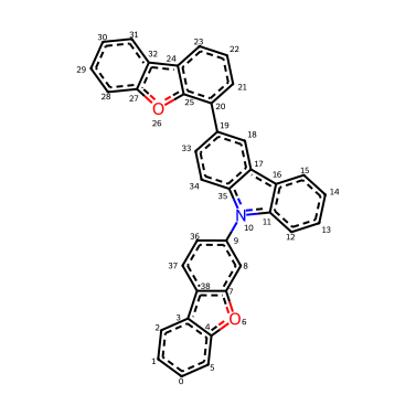 c1ccc2c(c1)oc1cc(-n3c4ccccc4c4cc(-c5cccc6c5oc5ccccc56)ccc43)ccc12